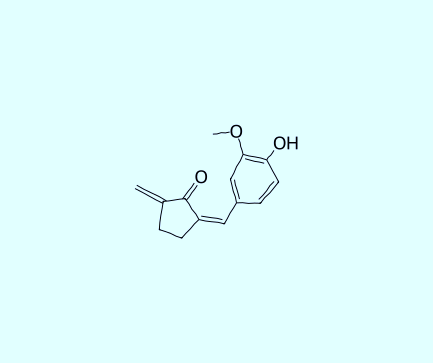 C=C1CCC(=Cc2ccc(O)c(OC)c2)C1=O